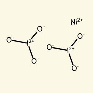 [Ni+2].[O-][I+2]([O-])[O-].[O-][I+2]([O-])[O-]